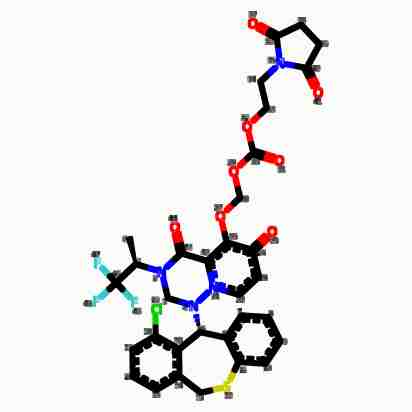 C[C@@H](N1CN([C@@H]2c3ccccc3SCc3cccc(Cl)c32)n2ccc(=O)c(OCOC(=O)OCCN3C(=O)CCC3=O)c2C1=O)C(F)(F)F